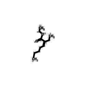 CCCCC=C(CC)C(=O)OCC